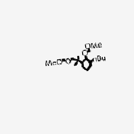 CCCCc1cccc(C(C)(C)COCOC)c1OCOC